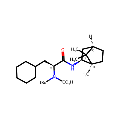 CC(C)(C)N(C(=O)O)[C@@H](CC1CCCCC1)C(=O)N[C@H]1C[C@H]2CC[C@]1(C)C2(C)C